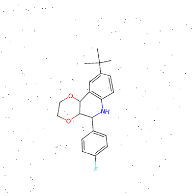 CC(C)(C)c1ccc2c(c1)C1OCCOC1C(c1ccc(F)cc1)N2